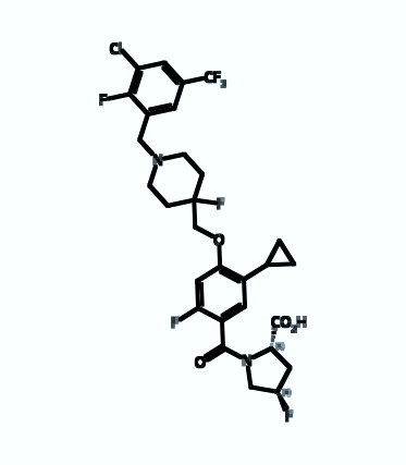 O=C(O)[C@@H]1C[C@@H](F)CN1C(=O)c1cc(C2CC2)c(OCC2(F)CCN(Cc3cc(C(F)(F)F)cc(Cl)c3F)CC2)cc1F